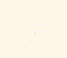 Cn1cncc1-c1cnc2cnc(NC(=O)c3ccnc(C#N)c3)cc2c1